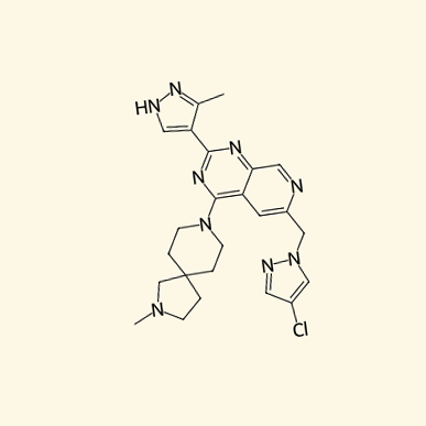 Cc1n[nH]cc1-c1nc(N2CCC3(CCN(C)C3)CC2)c2cc(Cn3cc(Cl)cn3)ncc2n1